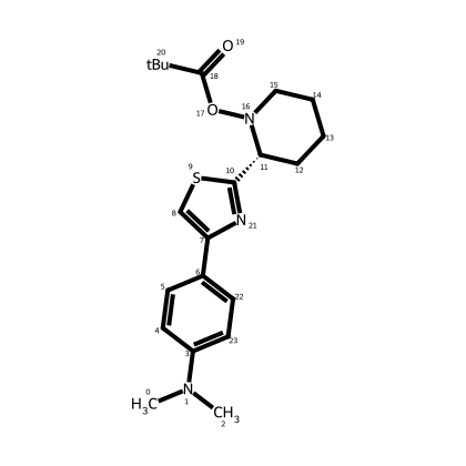 CN(C)c1ccc(-c2csc([C@H]3CCCCN3OC(=O)C(C)(C)C)n2)cc1